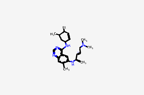 C=C(/C=C/CN(C)C)Nc1cc2c(NC3C=CC(CC)C(C)C3)ncnc2cc1C